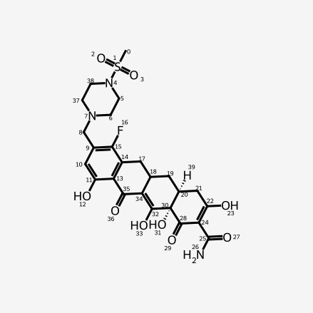 CS(=O)(=O)N1CCN(Cc2cc(O)c3c(c2F)CC2C[C@H]4CC(O)=C(C(N)=O)C(=O)[C@@]4(O)C(O)=C2C3=O)CC1